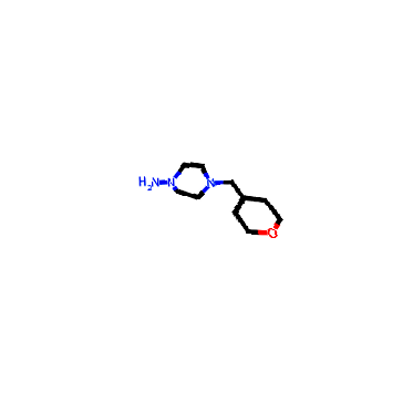 NN1CCN(CC2CCOCC2)CC1